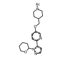 CC(=O)N1CCC(COc2ccc(-c3ccnn3C3CCCCO3)nc2)CC1